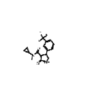 O=C1NCC(c2cccc(C(F)(F)F)c2)C1C(=O)NC1CC1